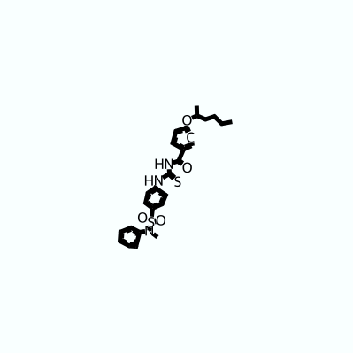 CCCCC(C)Oc1ccc(C(=O)NC(=S)Nc2ccc(S(=O)(=O)N(C)c3ccccc3)cc2)cc1